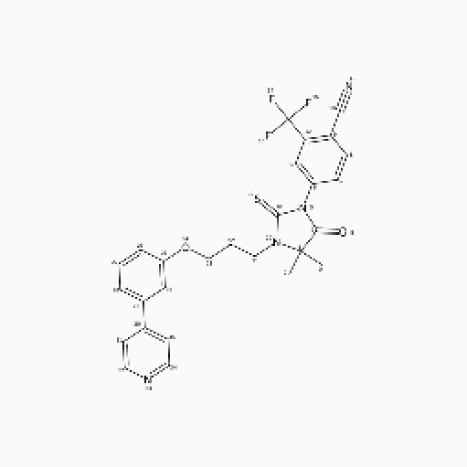 CC1(C)C(=O)N(c2ccc(C#N)c(C(F)(F)F)c2)C(=S)N1CCCOc1cccc(-c2ccncc2)c1